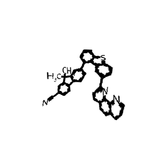 CC1(C)c2cc(C#N)ccc2-c2ccc(-c3cccc4sc5ccc(-c6ccc7ccc8cccnc8c7n6)cc5c34)cc21